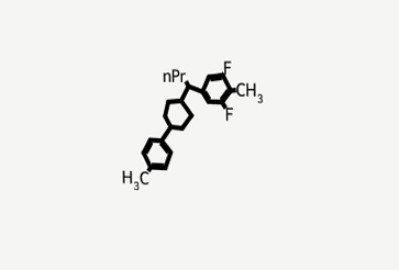 CCCC(c1cc(F)c(C)c(F)c1)C1CCC(c2ccc(C)cc2)CC1